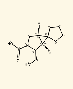 O=C(O)N1C[C@H]2[C@@H]([C@H]1CO)C21CCCC1